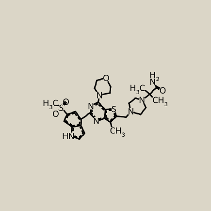 Cc1c(CN2CCN(C(C)(C)C(N)=O)CC2)sc2c(N3CCOCC3)nc(-c3cc(S(C)(=O)=O)cc4[nH]ccc34)nc12